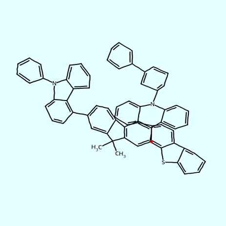 CC1(C)c2ccc(-c3ccccc3N(c3cccc(-c4ccccc4)c3)c3ccccc3-c3ccc4c(c3)sc3ccccc34)cc2-c2ccc(-c3cccc4c3c3ccccc3n4-c3ccccc3)cc21